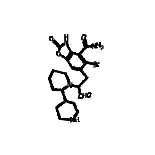 NC(=O)c1c(Br)c(C[C](C=O)N2CCCCC2C2CCNCC2)cc2oc(=O)[nH]c12